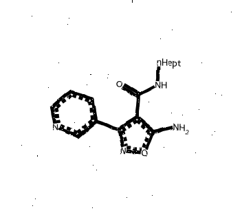 CCCCCCCNC(=O)c1c(-c2cccnc2)noc1N